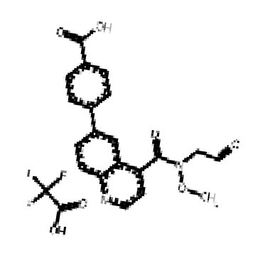 CON(CC=O)C(=O)c1ccnc2ccc(-c3ccc(C(=O)O)cc3)cc12.O=C(O)C(F)(F)F